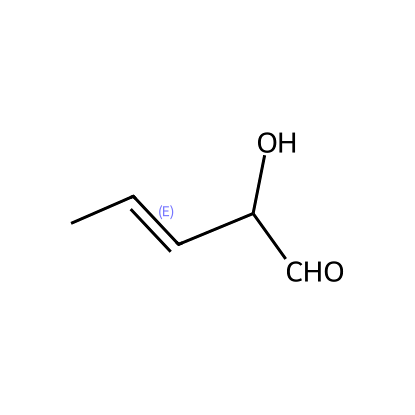 C/C=C/C(O)C=O